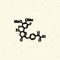 CCC(=O)Nc1ccc(CN2N=C(c3cc(F)c(OC)c(OC)c3F)C(CC)CC2=O)cc1